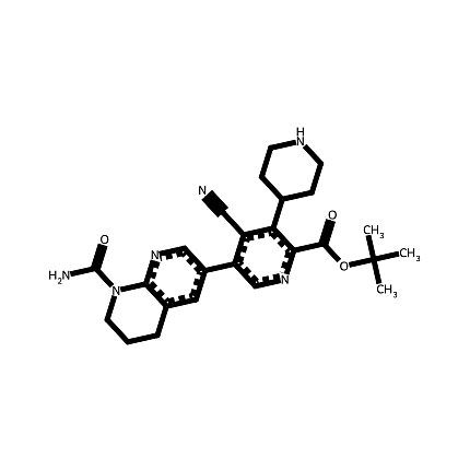 CC(C)(C)OC(=O)c1ncc(-c2cnc3c(c2)CCCN3C(N)=O)c(C#N)c1C1CCNCC1